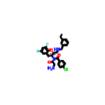 CCc1cccc(CNC[C@@H](O)[C@H](Cc2cc(F)cc(F)c2)N(C(=O)CN)C(=O)c2ccc(Cl)cc2)c1